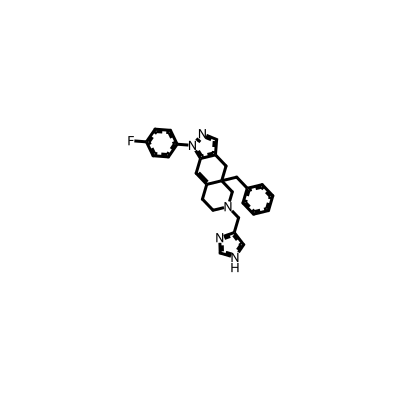 Fc1ccc(-n2ncc3c2C=C2CCN(Cc4c[nH]cn4)CC2(Cc2ccccc2)C3)cc1